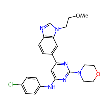 COCCn1cnc2ccc(-c3cc(Nc4ccc(Cl)cc4)nc(N4CCOCC4)n3)cc21